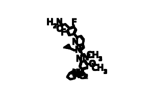 COc1cc(C(=O)N2CC3CCC2[C@@H]3N)cc2nc(-c3cc4ccc(-c5cc(F)c(CC(N)=O)c(F)c5)nc4n3CC3CC3)n(C)c12